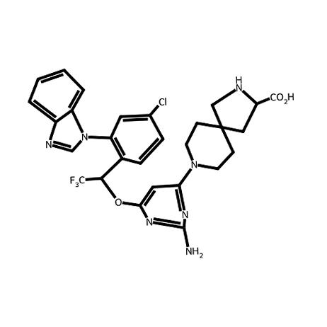 Nc1nc(OC(c2ccc(Cl)cc2-n2cnc3ccccc32)C(F)(F)F)cc(N2CCC3(CC2)CNC(C(=O)O)C3)n1